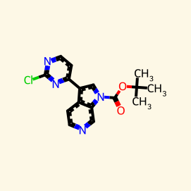 CC(C)(C)OC(=O)n1cc(-c2ccnc(Cl)n2)c2ccncc21